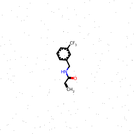 C=CC(=O)NCc1cccc(C(F)(F)F)c1